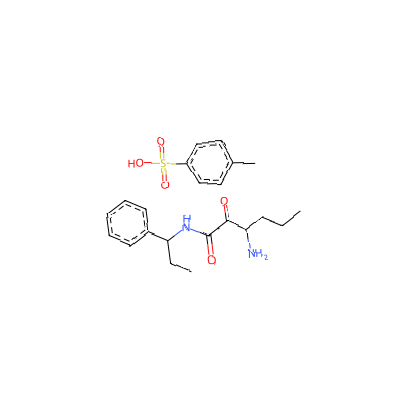 CCCC(N)C(=O)C(=O)NC(CC)c1ccccc1.Cc1ccc(S(=O)(=O)O)cc1